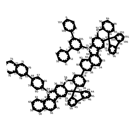 c1ccc(-c2cc(-c3ccccc3)cc(-n3c4cc5c(cc4c4ccc6cc(-c7ccc8c(c7)Sc7cc9c(cc7C87c8ccccc8-c8ccccc87)c7ccc8ccccc8c7n9-c7ccc(-c8ccc9ccccc9c8)cc7)ccc6c43)C3(c4ccccc4S5)c4ccccc4-c4ccccc43)c2)cc1